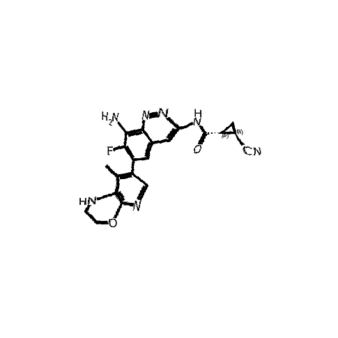 Cc1c(-c2cc3cc(NC(=O)[C@@H]4C[C@H]4C#N)nnc3c(N)c2F)cnc2c1NCCO2